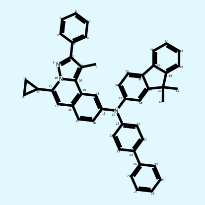 Cc1c(-c2ccccc2)nn2c(C3CC3)cc3ccc(N(c4ccc(-c5ccccc5)cc4)c4ccc5c(c4)C(C)(C)c4ccccc4-5)cc3c12